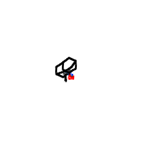 N[C@H]1CC2CC3CC1C[C@](O)(C3)C2